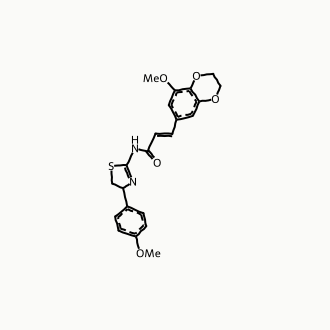 COc1ccc(C2CSC(NC(=O)/C=C/c3cc(OC)c4c(c3)OCCO4)=N2)cc1